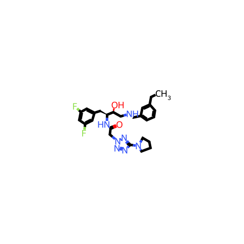 CCc1cccc(CNC[C@H](O)[C@H](Cc2cc(F)cc(F)c2)NC(=O)Cn2nnc(N3CCCC3)n2)c1